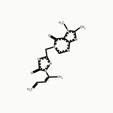 C=C/C=C(/C)n1nc(Cn2cnc3nc(C)n(C)c3c2=O)oc1=O